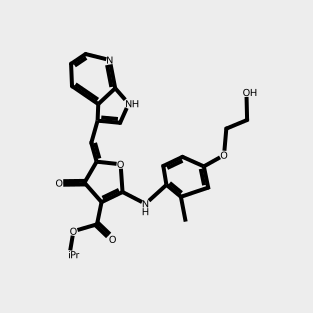 Cc1cc(OCCO)ccc1NC1=C(C(=O)OC(C)C)C(=O)C(=Cc2c[nH]c3ncccc23)O1